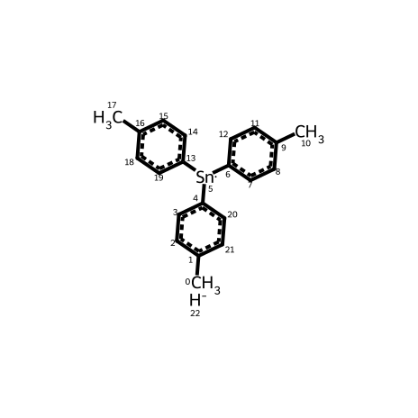 Cc1cc[c]([Sn]([c]2ccc(C)cc2)[c]2ccc(C)cc2)cc1.[H-]